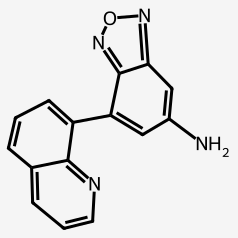 Nc1cc(-c2cccc3cccnc23)c2nonc2c1